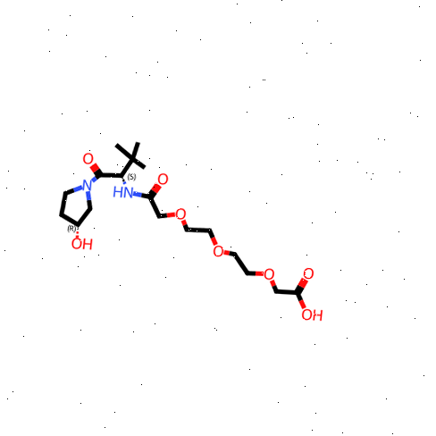 CC(C)(C)[C@H](NC(=O)COCCOCCOCC(=O)O)C(=O)N1CC[C@@H](O)C1